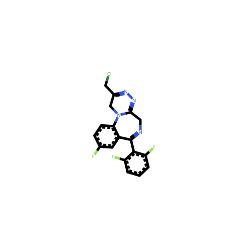 Fc1ccc2c(c1)C(c1c(F)cccc1F)=NCC1=NN=C(CCl)CN12